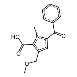 COCc1cc(C(=O)c2ccccc2)n(C)c1C(=O)O